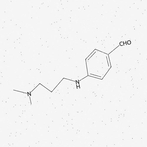 CN(C)CCCNc1ccc(C=O)cc1